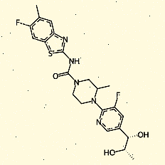 Cc1cc2nc(NC(=O)N3CCN(c4ncc([C@H](O)[C@H](C)O)cc4F)C(C)C3)sc2cc1F